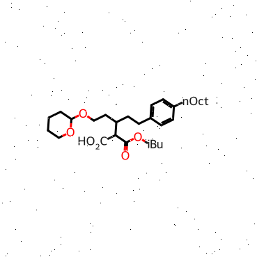 CCCCCCCCc1ccc(CCC(CCOC2CCCCO2)C(C(=O)O)C(=O)OC(C)CC)cc1